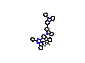 CC1(C)c2ccccc2-c2c(-n3c4ccccc4c4cc(-c5ccc6c(c5)c5ccccc5n6-c5ccccc5)ccc43)ccc(-c3nc(-c4ccccc4)nc(-c4ccccc4)n3)c21